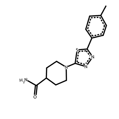 Cc1ccc(-c2nnc(N3CCC(C(N)=O)CC3)s2)cc1